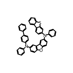 c1ccc(-c2ccc(N(c3ccccc3)c3ccc4oc5ccc(N(c6ccccc6)c6ccc7c(c6)sc6ccccc67)cc5c4c3)cc2)cc1